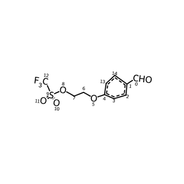 O=Cc1ccc(OCCOS(=O)(=O)C(F)(F)F)cc1